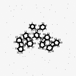 c1ccc(N(c2ccccc2)c2cc(-n3c4ccccc4c4c(-n5c6ccccc6c6ccccc65)cccc43)cc(-n3c4ccccc4c4c(-n5c6ccccc6c6ccccc65)cccc43)c2)cc1